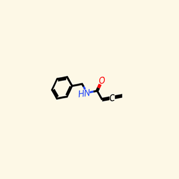 C=C=CC(=O)NCc1ccccc1